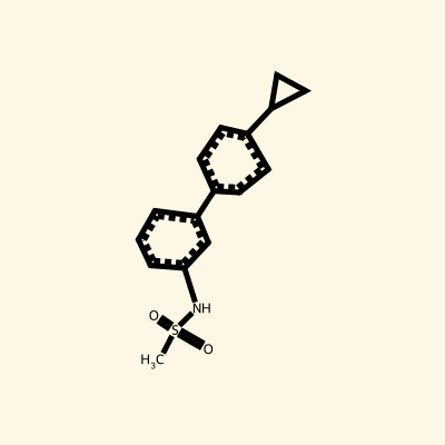 CS(=O)(=O)Nc1cccc(-c2ccc(C3CC3)cc2)c1